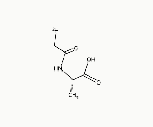 [2H]CC(=O)N[C@@H](C)C(=O)O